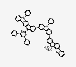 CC1(C)c2ccc(-c3ccc4c(c3)c3cc(-c5ccc6c(c5)c5cc7c(cc5n6-c5nc(-c6ccccc6)cc(-c6ccccc6)n5)c5ccccc5n7-c5ccccc5)ccc3n4-c3ccccc3)cc2-c2ccc3c(oc4ccccc43)c21